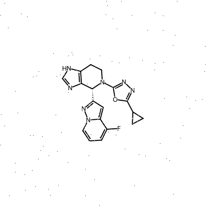 Fc1cccn2nc([C@@H]3c4nc[nH]c4CCN3c3nnc(C4CC4)o3)cc12